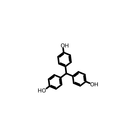 Oc1ccc([C](c2ccc(O)cc2)c2ccc(O)cc2)cc1